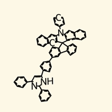 C1=C(c2ccc(-c3ccc4c(c3)-c3ccccc3C43c4cc5ccccc5cc4N(c4ccccc4)c4cc5ccccc5cc43)cc2)NC(c2ccccc2)N=C1c1ccccc1